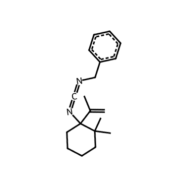 C=C(C)C1(N=C=NCc2ccccc2)CCCCC1(C)C